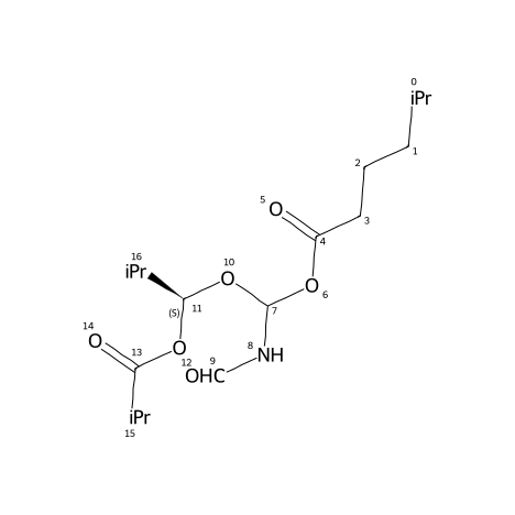 CC(C)CCCC(=O)OC(NC=O)O[C@@H](OC(=O)C(C)C)C(C)C